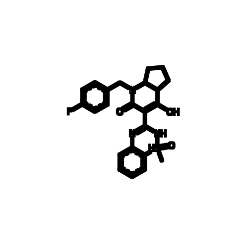 C[SH]1(=O)NC(C2=C(O)C3CCCC3N(Cc3ccc(F)cc3)C2=O)=Nc2ccccc21